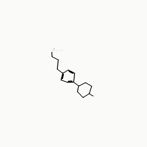 CCCCCCCCCCCCc1ccc(C2CCC(F)CC2)cc1